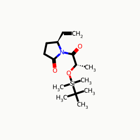 C=C[C@@H]1CCC(=O)N1C(=O)[C@H](C)O[Si](C)(C)C(C)(C)C